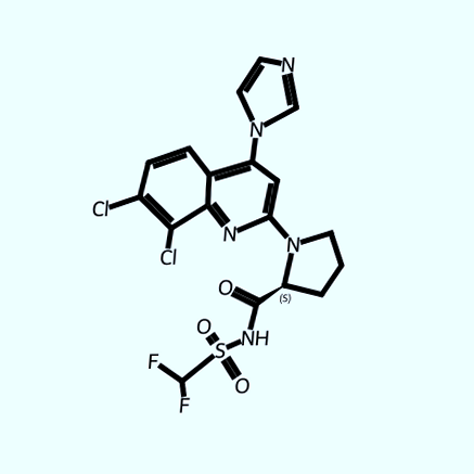 O=C(NS(=O)(=O)C(F)F)[C@@H]1CCCN1c1cc(-n2ccnc2)c2ccc(Cl)c(Cl)c2n1